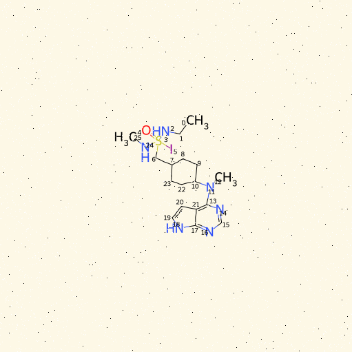 CCNS(=O)(I)(CC1CCC(N(C)c2ncnc3[nH]ccc23)CC1)NC